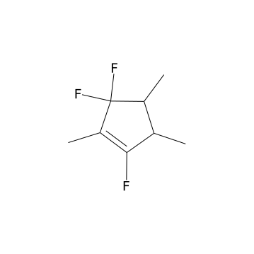 CC1=C(F)C(C)C(C)C1(F)F